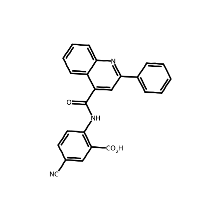 N#Cc1ccc(NC(=O)c2cc(-c3ccccc3)nc3ccccc23)c(C(=O)O)c1